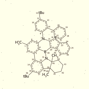 Cc1cc2c3c(c1)N(c1ccc(C(C)(C)C)cc1-c1ccccc1)c1sc4ccccc4c1B3N1c3c-2cc(C(C)(C)C)cc3C2(C)CCCCC12C